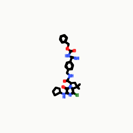 CC1(C)CC(C(=O)NCc2ccc(C(=N)NC(=O)OCc3ccccc3)cc2)n2c1c(Cl)nc(NC1CCCC1)c2=O